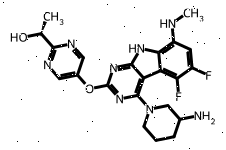 CNc1cc(F)c(F)c2c1[nH]c1nc(Oc3cnc([C@H](C)O)nc3)nc(N3CCCC(N)C3)c12